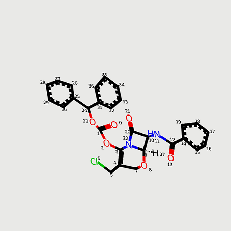 O=C(OC1=C(CCl)CO[C@@H]2[C@H](NC(=O)c3ccccc3)C(=O)N12)OC(c1ccccc1)c1ccccc1